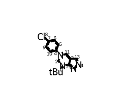 CC(C)(C)N1CN(c2ccc(Cl)cc2)C=C2C=NN=C21